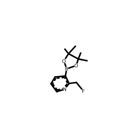 CC1(C)OB(c2cccnc2CF)OC1(C)C